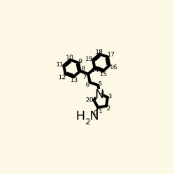 N[C@@H]1CCN(CCC(c2ccccc2)c2ccccc2)C1